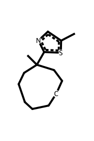 Cc1cnc(C2(C)CCCCCCCC2)s1